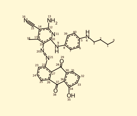 CCCCNc1ccc(Nc2nc(N)c(C#N)c(C)c2/N=N/c2cccc3c2C(=O)c2cccc(O)c2C3=O)cc1